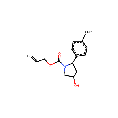 C=CCOC(=O)N1C[C@H](O)C[C@@H]1c1ccc(C=O)cc1